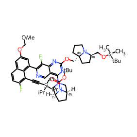 COCOc1cc(-c2ncc3c(N4C[C@H]5CC[C@@H](C4)N5C(=O)OC(C)(C)C)nc(OC[C@]45CCCN4[C@@H](CO[Si](C)(C)C(C)(C)C)CC5)nc3c2F)c2c(C#C[Si](C(C)C)(C(C)C)C(C)C)c(F)ccc2c1